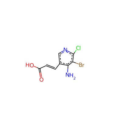 Nc1c(/C=C/C(=O)O)cnc(Cl)c1Br